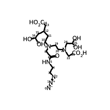 [N-]=[N+]=NCCNC(=O)CN(CCC(CC(=O)O)CC(O)O)CCN(CC(=O)O)CC(O)O